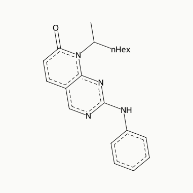 CCCCCCC(C)n1c(=O)ccc2cnc(Nc3ccccc3)nc21